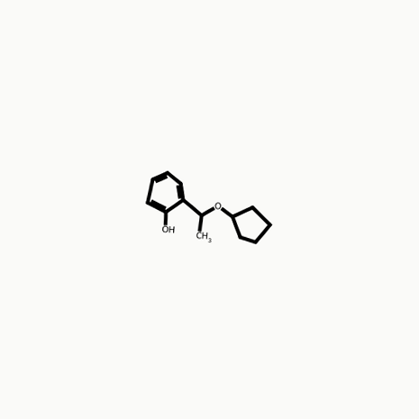 CC(OC1CCCC1)c1ccccc1O